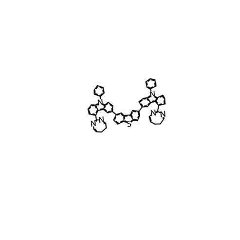 C1=C/N=C(c2cccc3c2c2cc(-c4ccc5sc6ccc(-c7ccc8c(c7)c7c(C9=N/C=C\CC/C=N\9)cccc7n8-c7ccccc7)cc6c5c4)ccc2n3-c2ccccc2)\N=C/CC\1